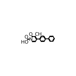 Cc1c(-c2ccc(-c3ccccc3)cc2)ccn(C(=O)O)c1=O